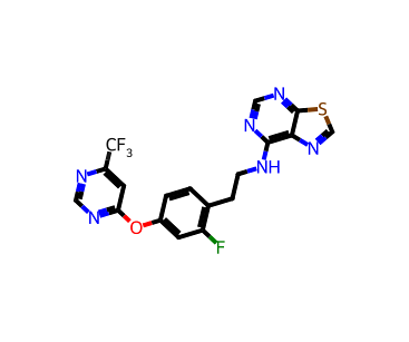 Fc1cc(Oc2cc(C(F)(F)F)ncn2)ccc1CCNc1ncnc2scnc12